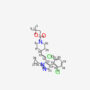 CC(C)(C)OC(=O)N1CCC(C=Cc2c(-c3c(Cl)cccc3Cl)cnn2C2CC2)CC1